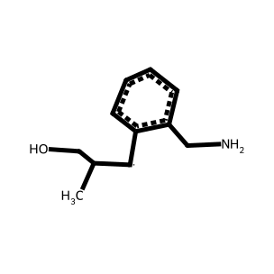 CC([CH]c1ccccc1CN)CO